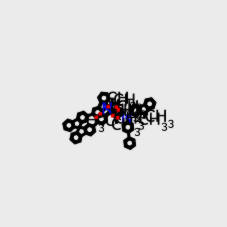 CC(CC(c1ccc(-c2ccc3c(c2)C2(c4ccccc4-3)c3ccccc3-c3ccc(-c4ccc5c(c4)c4ccccc4n5-c4ccc(N(c5ccc(-c6ccccc6)cc5)c5ccc6c(c5)C(C)(C)c5ccccc5-6)cc4)cc32)cc1)C(C)C(C)(C)C)C(C)(C)C